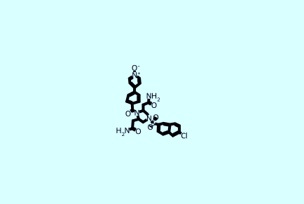 NC(=O)CC1CN(S(=O)(=O)c2ccc3cc(Cl)ccc3c2)CC(CC(N)=O)N1C(=O)c1ccc(-c2cc[n+]([O-])cc2)cc1